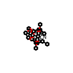 N#Cc1c(-n2c3ccccc3c3cc(-c4ccccc4)ccc32)c(-n2c3ccccc3c3cc(-c4ccccc4)ccc32)c(-c2ccc3c(c2)-c2ncccc2C32c3ccccc3-c3ccccc32)c(-n2c3ccccc3c3cc(-c4ccccc4)ccc32)c1-n1c2ccccc2c2cc(-c3ccccc3)ccc21